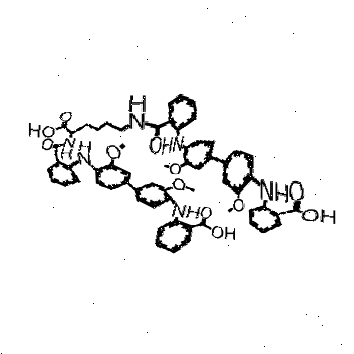 COc1cc(-c2ccc(Nc3ccccc3C(=O)NCCCCC(NC(=O)c3ccccc3Nc3ccc(-c4ccc(Nc5ccccc5C(=O)O)c(OC)c4)cc3OC)C(=O)O)c(OC)c2)ccc1Nc1ccccc1C(=O)O